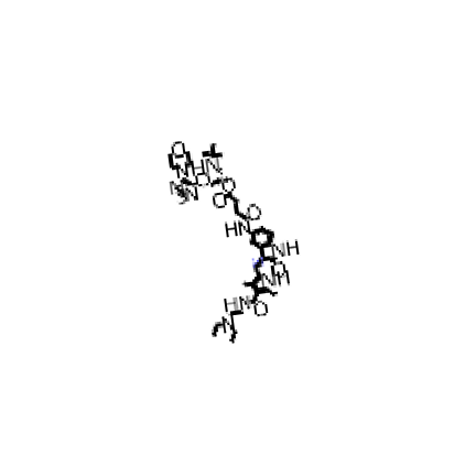 CCN(CC)CCNC(=O)c1c(C)[nH]c(/C=C2\C(=O)Nc3ccc(NC(=O)CCC(=O)O[C@@H](CNC(C)(C)C)COc4nsnc4N4CCOCC4)cc32)c1C